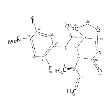 C=C[C@@H](C)C1C[C@@]2(C(C)Cc3cc(F)c(NC)cc3F)OCOC2=CC1=O